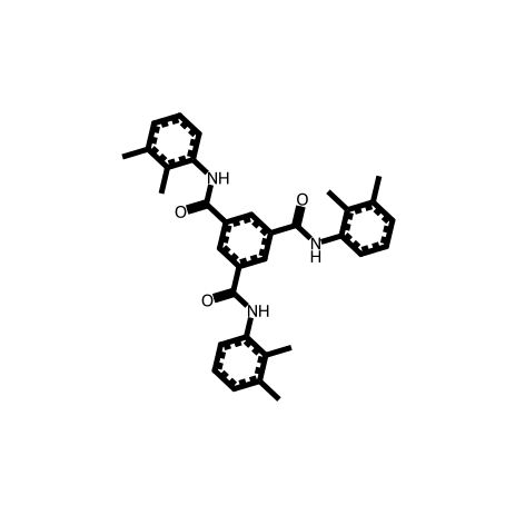 Cc1cccc(NC(=O)c2cc(C(=O)Nc3cccc(C)c3C)cc(C(=O)Nc3cccc(C)c3C)c2)c1C